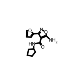 Nc1onc(-c2ccco2)c1C(=O)NC1CCCC1